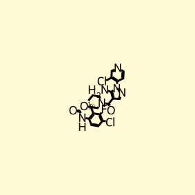 Nc1c(C(=O)N2CCC[C@@]3(C2)OC(=O)Nc2ccc(Cl)c(F)c23)cnn1-c1ccncc1Cl